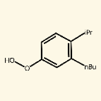 CCCCc1cc(OO)ccc1C(C)C